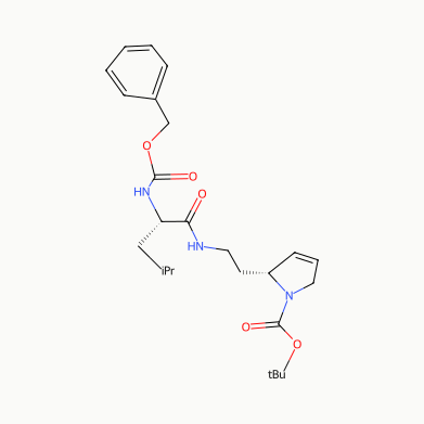 CC(C)C[C@H](NC(=O)OCc1ccccc1)C(=O)NCC[C@@H]1C=CCN1C(=O)OC(C)(C)C